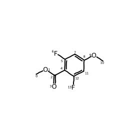 COC(=O)c1c(F)cc(OC)cc1F